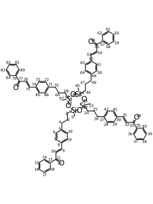 C[Si]1(CCCc2ccc(C=CC(=O)c3ccccc3)cc2)O[Si](C)(CCCc2ccc(C=CC(=O)c3ccccc3)cc2)O[Si](C)(CCCc2ccc(C=CC(=O)c3ccccc3)cc2)O[Si](C)(CCCc2ccc(C=CC(=O)c3ccccc3)cc2)O1